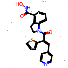 O=C(NO)c1cccc2c1CCN2C(=O)C(=Cc1ccncc1)c1cccs1